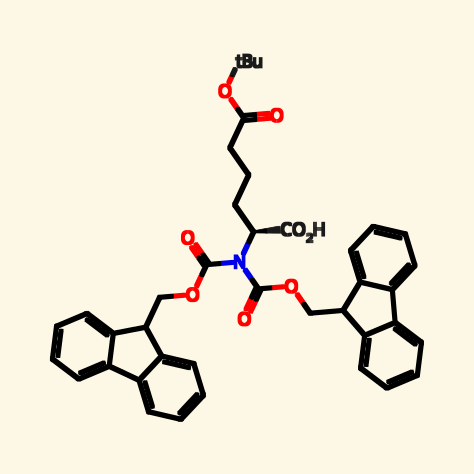 CC(C)(C)OC(=O)CCC[C@@H](C(=O)O)N(C(=O)OCC1c2ccccc2-c2ccccc21)C(=O)OCC1c2ccccc2-c2ccccc21